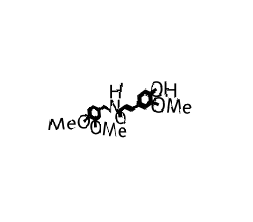 COc1cc(/C=C/C(=O)NCCc2ccc(OC)c(OC)c2)ccc1O